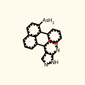 [AsH2]c1ccc2cccc(-c3cnnc4[nH]ncc34)c2c1-c1ccccc1